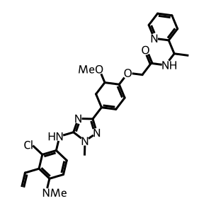 C=Cc1c(NC)ccc(Nc2nc(C3=CC=C(OCC(=O)NC(C)c4ccccn4)C(OC)C3)nn2C)c1Cl